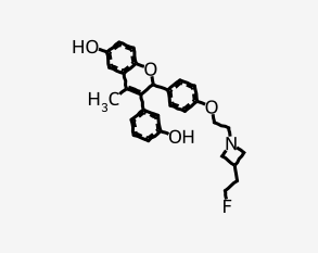 CC1=C(c2cccc(O)c2)C(c2ccc(OCCN3CC(CCF)C3)cc2)Oc2ccc(O)cc21